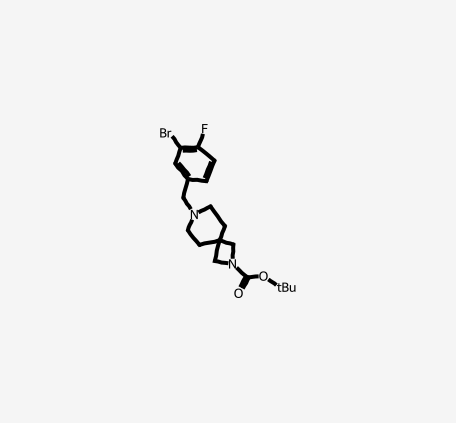 CC(C)(C)OC(=O)N1CC2(CCN(Cc3ccc(F)c(Br)c3)CC2)C1